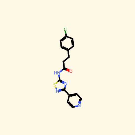 O=C(CCc1ccc(Cl)cc1)Nc1nc(-c2ccncc2)ns1